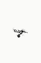 COCCNC(=O)c1c(O)c2ncc(Cc3ccc(F)cc3)cc2n(CCN2CCCS2(=O)=O)c1=O